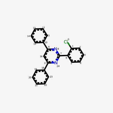 Clc1ccccc1-c1nc(-c2ccccc2)cc(-c2ccccc2)n1